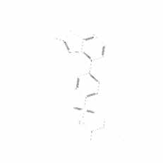 Cc1cc2c(-c3ccc(S(=O)(=O)NC(C)C(C)C)cc3)ccnc2[nH]1